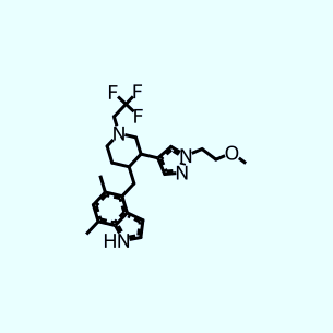 COCCn1cc(C2CN(CC(F)(F)F)CCC2Cc2c(C)cc(C)c3[nH]ccc23)cn1